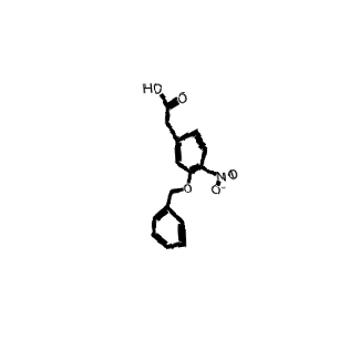 O=C(O)Cc1ccc([N+](=O)[O-])c(OCc2ccccc2)c1